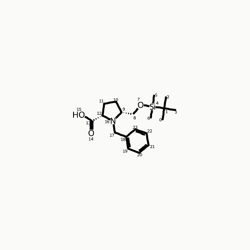 CC(C)(C)[Si](C)(C)OC[C@H]1CC[C@@H](C(=O)O)N1Cc1ccccc1